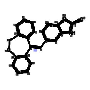 O=c1[nH]c2cc(/C=C3\c4ccccc4COc4ccccc43)ccc2o1